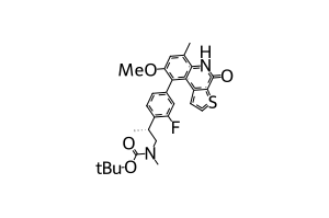 COc1cc(C)c2[nH]c(=O)c3sccc3c2c1-c1ccc([C@@H](C)CN(C)C(=O)OC(C)(C)C)c(F)c1